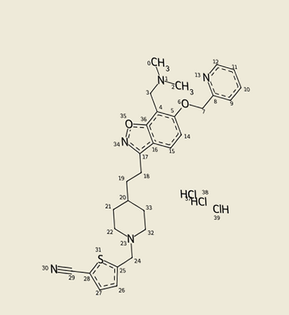 CN(C)Cc1c(OCc2ccccn2)ccc2c(CCC3CCN(Cc4ccc(C#N)s4)CC3)noc12.Cl.Cl.Cl